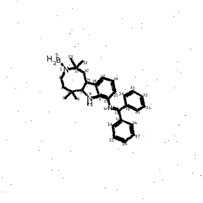 BN1CCC(C)(C)C2Nc3c(N=C(c4ccccc4)c4ccccc4)cccc3C2CC1(C)C